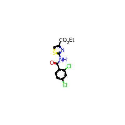 CCOC(=O)c1csc(NC(=O)c2ccc(Cl)cc2Cl)n1